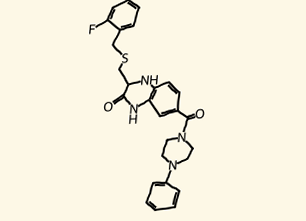 O=C1Nc2cc(C(=O)N3CCN(c4ccccc4)CC3)ccc2NC1CSCc1ccccc1F